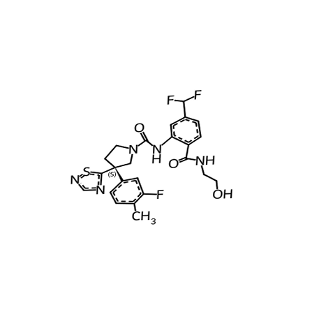 Cc1ccc([C@@]2(c3ncns3)CCN(C(=O)Nc3cc(C(F)F)ccc3C(=O)NCCO)C2)cc1F